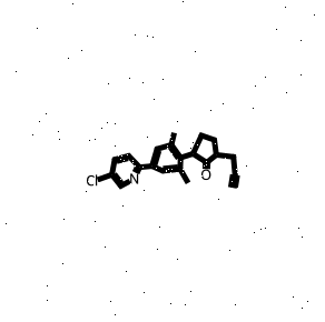 C#CCC1CCC(c2c(C)cc(-c3ccc(Cl)cn3)cc2C)C1=O